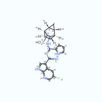 N=C(/N=C(/N[C@H]1[C@@H]2CC[C@@H]([C@@H]3C[C@@H]32)[C@@H]1C(=O)O)c1ccc[nH]1)c1c[nH]c2ncc(F)cc12